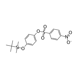 CC(C)(C)[Si](C)(C)Oc1ccc(OS(=O)(=O)c2ccc([N+](=O)[O-])cc2)cc1